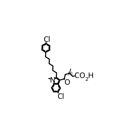 C[C@@H](CC(=O)O)CC(=O)c1c(CCCCCCc2ccc(Cl)cc2)n(C)c2ccc(Cl)cc12